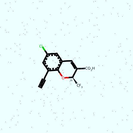 C#Cc1cc(Cl)cc2c1O[C@H](C(F)(F)F)C(C(=O)O)=C2